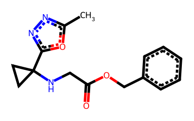 Cc1nnc(C2(NCC(=O)OCc3ccccc3)CC2)o1